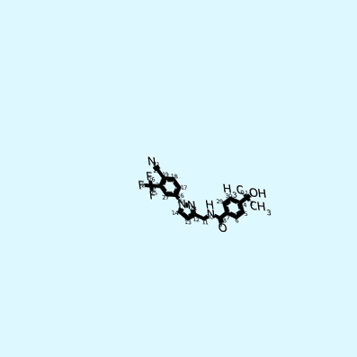 CC(C)(O)c1ccc(C(=O)NCc2ccn(-c3ccc(C#N)c(C(F)(F)F)c3)n2)cc1